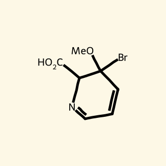 COC1(Br)C=CC=NC1C(=O)O